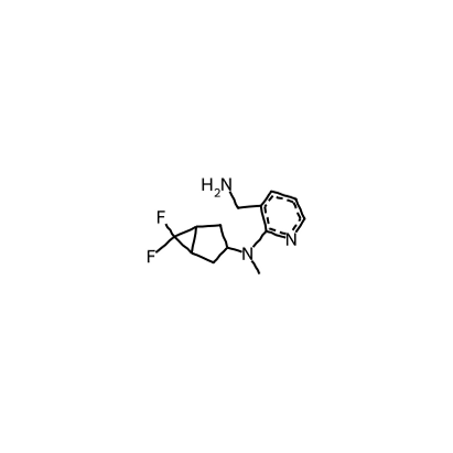 CN(c1ncccc1CN)C1CC2C(C1)C2(F)F